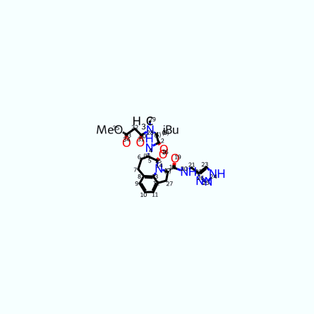 CC[C@H](C)[C@@H](C(=O)N[C@H]1CCc2cccc3c2N(C1=O)[C@H](C(=O)NCc1c[nH]nn1)C3)N(C)C(=O)CC(=O)OC